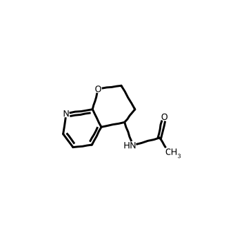 CC(=O)NC1CCOc2ncccc21